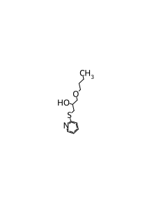 CCCCOCC(O)CSc1ccccn1